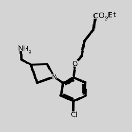 CCOC(=O)CCCOc1ccc(Cl)cc1N1CC(CN)C1